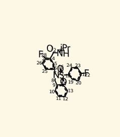 CC(C)NC(=O)c1cc(N(Cc2ccccc2)S(=O)(=O)c2ccc(F)cc2)ccc1F